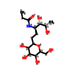 CCC(=O)N[C@H](CCC1OC(CO)C(O)C(O)C1O)[C@H](O)[C@H](C)O